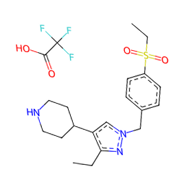 CCc1nn(Cc2ccc(S(=O)(=O)CC)cc2)cc1C1CCNCC1.O=C(O)C(F)(F)F